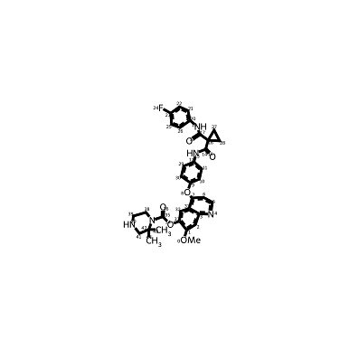 COc1cc2nccc(Oc3ccc(NC(=O)C4(C(=O)Nc5ccc(F)cc5)CC4)cc3)c2cc1OC(=O)N1CCNCC1(C)C